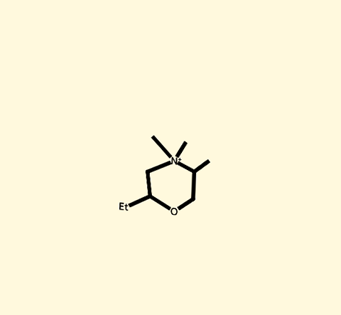 CCC1C[N+](C)(C)C(C)CO1